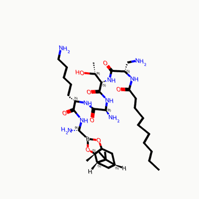 CCCCCCCCCC(=O)N[C@@H](CN)C(=O)N[C@H](C(=O)N[C@@H](N)C(=O)N[C@@H](CCCCCN)C(=O)N[C@@H](N)B1OC2C[C@@H]3C[C@@H](C3(C)C)[C@]2(C)O1)[C@@H](C)O